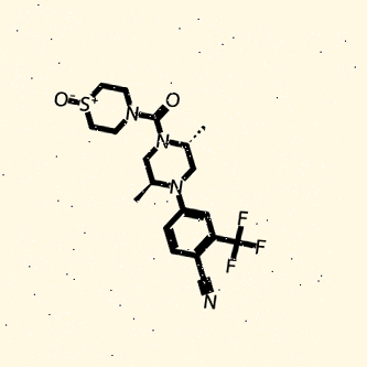 C[C@@H]1CN(c2ccc(C#N)c(C(F)(F)F)c2)[C@@H](C)CN1C(=O)N1CC[S+]([O-])CC1